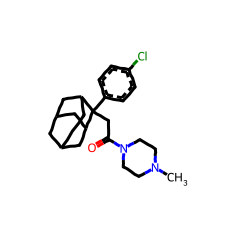 CN1CCN(C(=O)CC2(c3ccc(Cl)cc3)C3CC4CC(C3)CC2C4)CC1